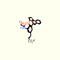 O=C(O)CCc1cc(NC(=O)CO)c(OC2CCCC2)c(-c2ccc3ccccc3c2)c1